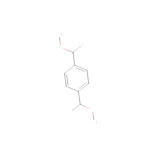 COC(C)c1ccc(C(C)OC)cc1